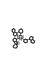 c1cc(-c2nc(-c3ccccc3-c3cccc4ccccc34)nc(-c3cccc4c3oc3ccccc34)n2)cc(-c2cccc3ccccc23)c1